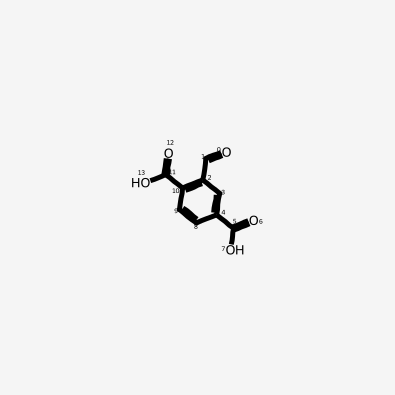 O=Cc1cc(C(=O)O)ccc1C(=O)O